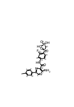 Cc1ccc(-c2cnc(N)c(C(=O)Nc3ccc(S(=O)(=O)CP(=O)(O)O)c(F)c3)n2)cc1